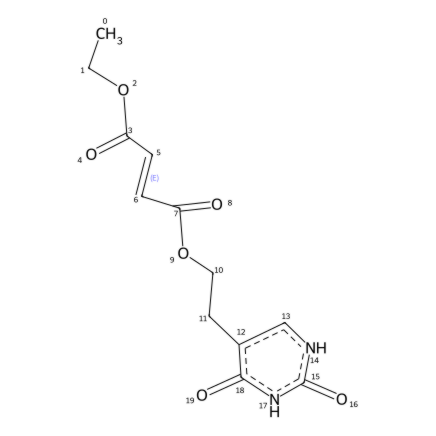 CCOC(=O)/C=C/C(=O)OCCc1c[nH]c(=O)[nH]c1=O